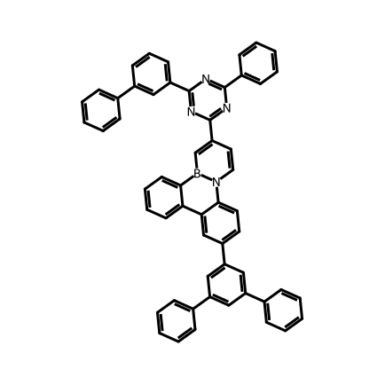 C1=CN2B(C=C1c1nc(-c3ccccc3)nc(-c3cccc(-c4ccccc4)c3)n1)c1ccccc1-c1cc(-c3cc(-c4ccccc4)cc(-c4ccccc4)c3)ccc12